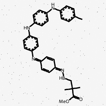 COC(=O)C(C)(C)CBN=C1C=CC(=Nc2ccc(Nc3ccc(Nc4ccc(C)cc4)cc3)cc2)C=C1